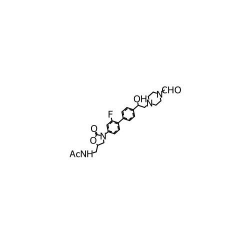 CC(=O)NCC1CN(c2ccc(-c3ccc(C(O)CN4CCN(C=O)CC4)cc3)c(F)c2)C(=O)O1